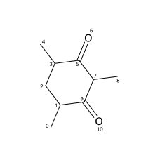 CC1CC(C)C(=O)C(C)C1=O